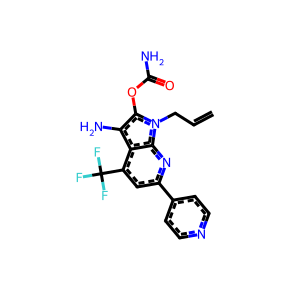 C=CCn1c(OC(N)=O)c(N)c2c(C(F)(F)F)cc(-c3ccncc3)nc21